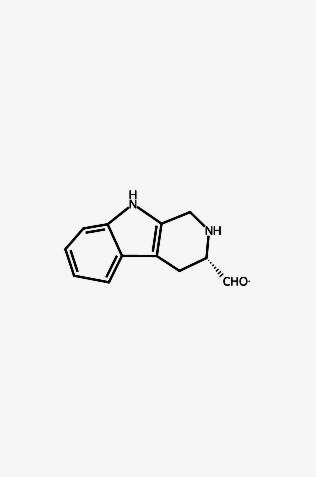 O=[C][C@@H]1Cc2c([nH]c3ccccc23)CN1